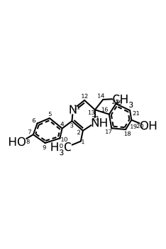 CCC1=C(c2ccc(O)cc2)N=CC(CC)(c2ccc(O)cc2)N1